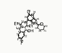 CC[C@H]1CN(C(C)c2ccc(F)cc2CO)[C@H](CC)CN1c1cc(=O)n(C)c2cn(C3CCCCO3)nc12